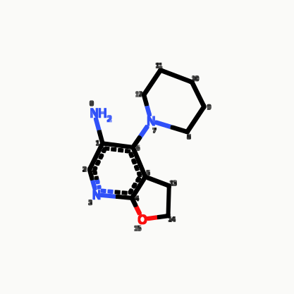 Nc1cnc2c(c1N1CCCCC1)CCO2